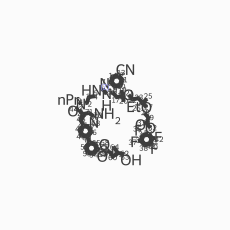 CCCN(CCCN/C(=N/c1cccc(C#N)c1)NCCC(C)(C)OCCC(C)(CC)OCCC(=O)Oc1c(F)c(F)cc(F)c1F)C(=O)C1=Cc2ccc(-c3cccc(S(=O)(=O)N4CC(CO)C4)c3)cc2N=C(N)C1